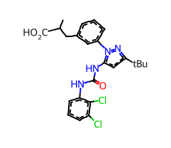 CC(Cc1cccc(-n2nc(C(C)(C)C)cc2NC(=O)Nc2cccc(Cl)c2Cl)c1)C(=O)O